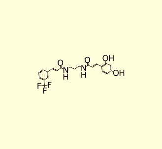 O=C(/C=C/c1cccc(C(F)(F)F)c1)NCCCNC(=O)/C=C/c1ccc(O)cc1O